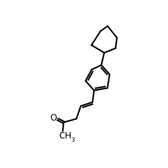 CC(=O)CC=Cc1ccc(C2CCCCC2)cc1